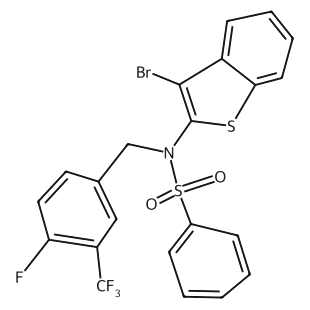 O=S(=O)(c1ccccc1)N(Cc1ccc(F)c(C(F)(F)F)c1)c1sc2ccccc2c1Br